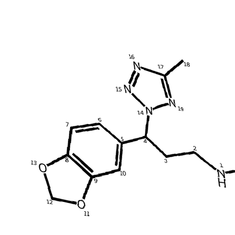 CNCCC(c1ccc2c(c1)OCO2)n1nnc(C)n1